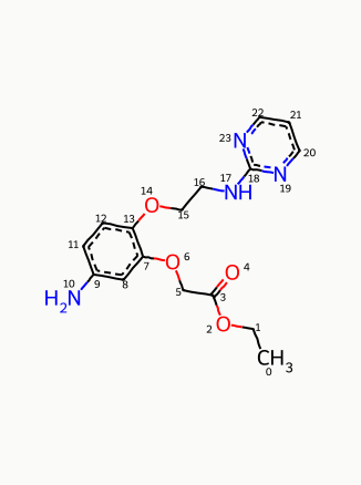 CCOC(=O)COc1cc(N)ccc1OCCNc1ncccn1